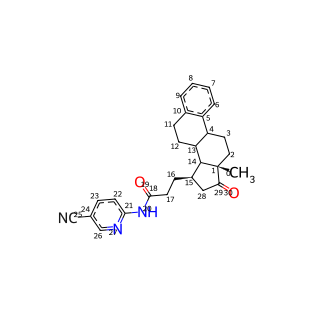 C[C@]12CCC3c4ccccc4CCC3C1[C@H](CCC(=O)Nc1ccc(C#N)cn1)CC2=O